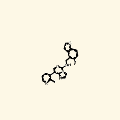 Cc1ncccc1-c1cnc(NCc2c(F)ccc3occc23)n2ccnc12